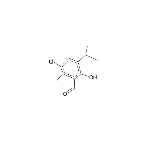 Cc1c(Cl)cc(C(C)C)c(O)c1C=O